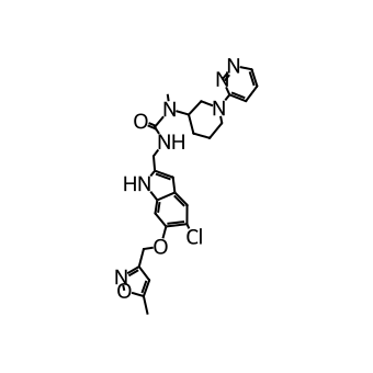 Cc1cc(COc2cc3[nH]c(CNC(=O)N(C)C4CCCN(c5cccnn5)C4)cc3cc2Cl)no1